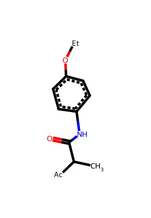 CCOc1ccc(NC(=O)C(C)C(C)=O)cc1